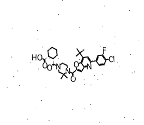 CC(C)(C)c1cc(-c2ccc(Cl)c(F)c2)nc2cc(C(=O)N3CCN(C(=O)[C@H]4CCCC[C@H]4C(=O)O)CC3(C)C)oc12